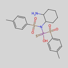 Cc1ccc(S(=O)(=O)N(C2CCCCC2N)P(O)(=S)S(=O)(=O)c2ccc(C)cc2)cc1